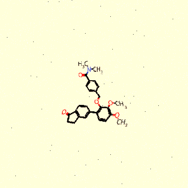 COc1ccc(-c2ccc3c(c2)CCC3=O)c(OCc2ccc(C(=O)N(C)C)cc2)c1OC